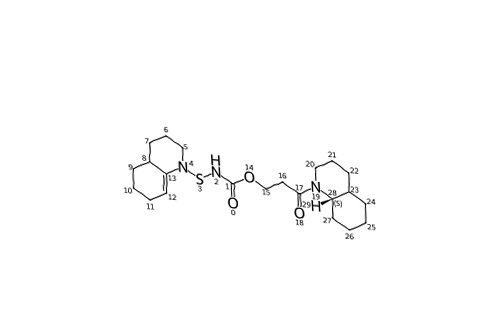 O=C(NSN1CCCC2CCCC=C21)OCCC(=O)N1CCCC2CCCC[C@@H]21